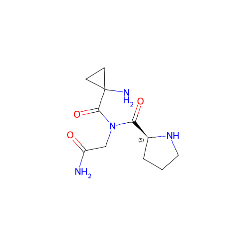 NC(=O)CN(C(=O)[C@@H]1CCCN1)C(=O)C1(N)CC1